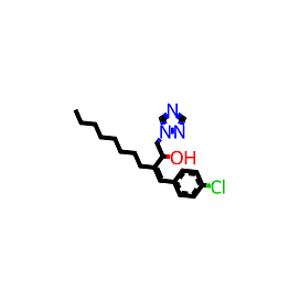 CCCCCCCCC(=Cc1ccc(Cl)cc1)C(O)Cn1cncn1